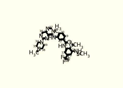 COc1c(NSC)cc(C(F)(F)F)cc1NC(=O)c1ccc(C)c(Nc2ncnc3cnc(N4CCN(C)CC4)nc23)c1